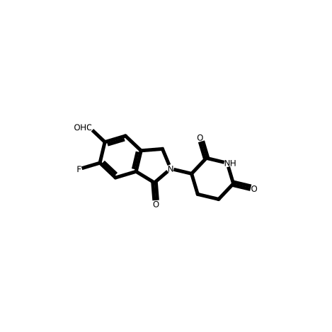 O=Cc1cc2c(cc1F)C(=O)N(C1CCC(=O)NC1=O)C2